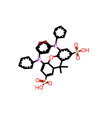 CC1(C)c2cc(S(=O)(=O)O)cc(P(c3ccccc3)c3ccccc3)c2OC2C(P(c3ccccc3)c3ccccc3)=CC(S(=O)(=O)O)=CC21